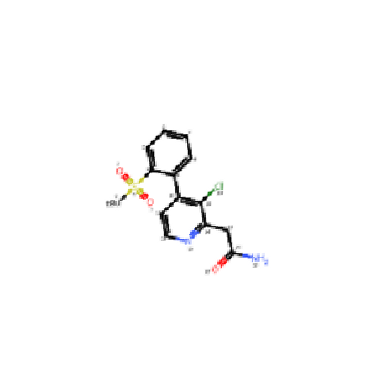 CC(C)(C)S(=O)(=O)c1ccccc1-c1ccnc(CC(N)=O)c1Cl